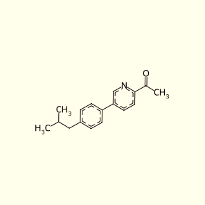 CC(=O)c1ccc(-c2ccc(CC(C)C)cc2)cn1